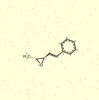 C[C@H]1O[C@@H]1/C=C/c1ccccc1